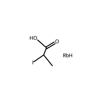 CC(I)C(=O)O.[RbH]